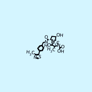 Cc1ncsc1-c1ccc(CNC(=O)[C@@H]2C[C@H](O)CN2C(=O)C(C)N(C)C(=O)O)cc1